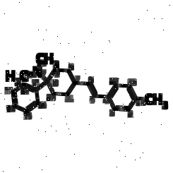 Cc1ccc(C=CC2CCC(c3ccccc3)(N(C)C)CC2)cc1